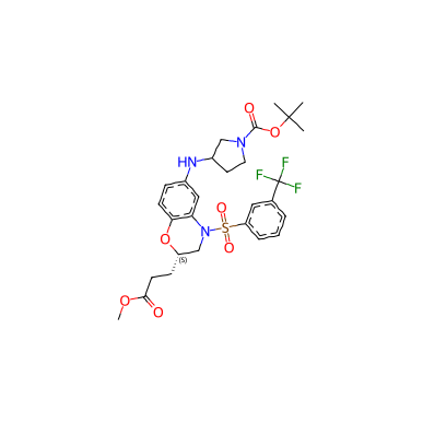 COC(=O)CC[C@H]1CN(S(=O)(=O)c2cccc(C(F)(F)F)c2)c2cc(NC3CCN(C(=O)OC(C)(C)C)C3)ccc2O1